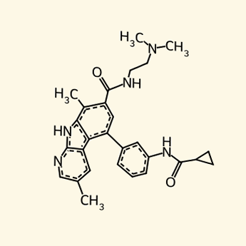 Cc1cnc2[nH]c3c(C)c(C(=O)NCCN(C)C)cc(-c4cccc(NC(=O)C5CC5)c4)c3c2c1